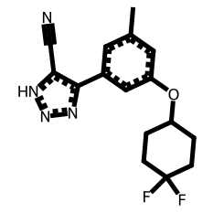 Cc1cc(OC2CCC(F)(F)CC2)cc(-c2nn[nH]c2C#N)c1